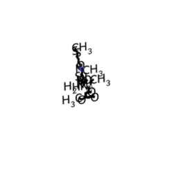 CCC[C@@H](NC(=O)[C@]1(N)CSC(/C(C)=N/OCCCSSC)=N1)c1cc(OC)cc(=O)o1